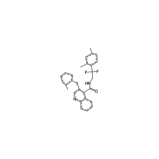 Cc1ccc(C(F)(F)CNC(=O)c2c(Sc3ccccc3C)cnc3ccccc23)c(C)c1